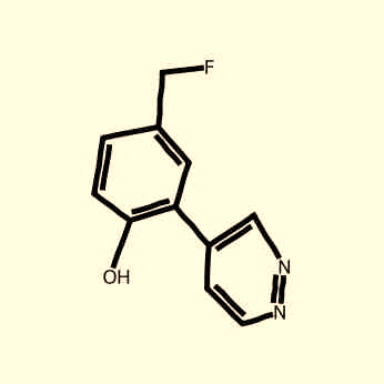 Oc1ccc(CF)cc1-c1ccnnc1